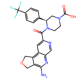 Nc1nc2cnc(C(=O)N3CCN(C(=O)O)C[C@@H]3c3ccc(C(F)(F)F)cc3)cc2c2c1COC2